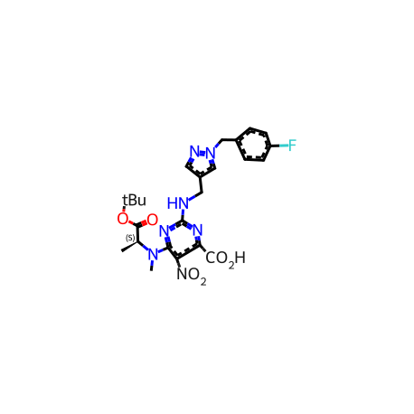 C[C@@H](C(=O)OC(C)(C)C)N(C)c1nc(NCc2cnn(Cc3ccc(F)cc3)c2)nc(C(=O)O)c1[N+](=O)[O-]